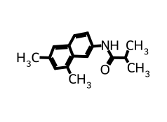 Cc1cc(C)c2cc(NC(=O)C(C)C)ccc2c1